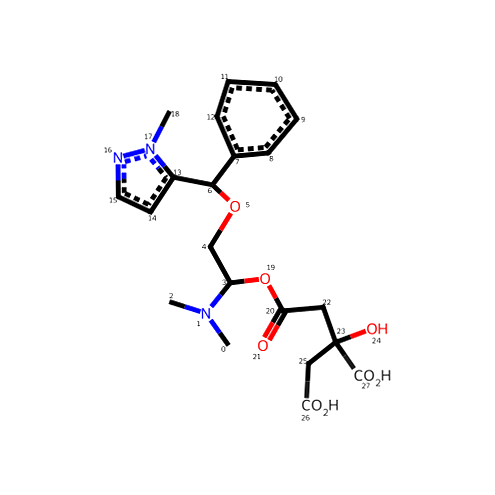 CN(C)C(COC(c1ccccc1)c1ccnn1C)OC(=O)CC(O)(CC(=O)O)C(=O)O